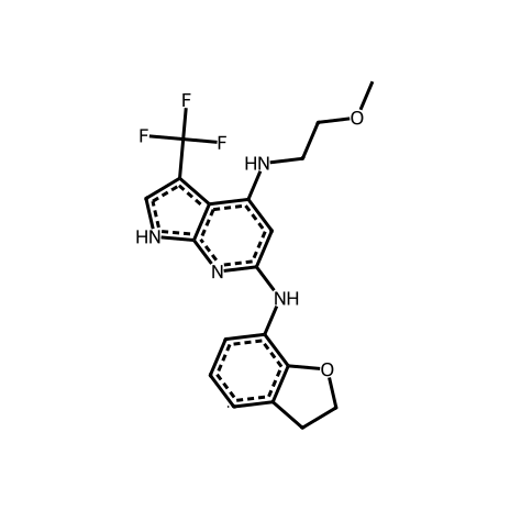 COCCNc1cc(Nc2cc[c]c3c2OCC3)nc2[nH]cc(C(F)(F)F)c12